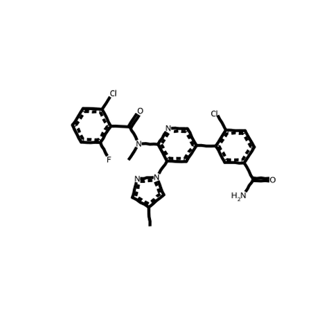 Cc1cnn(-c2cc(-c3cc(C(N)=O)ccc3Cl)cnc2N(C)C(=O)c2c(F)cccc2Cl)c1